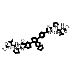 COC(=O)N[C@@H](C(C)C)C(O)N1CCC[C@H]1c1ncc(-c2ccc(-c3ccc(-c4ccc5nc([C@@H]6CCCN6C(=O)[C@@H](NC(=O)OC)C(C)I)[nH]c(=O)c5c4)c4c3CC3(CCCC3)C4)cc2)nn1